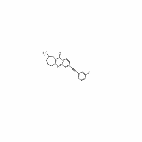 CC1CCCc2nc3cc(C#Cc4cccc(F)c4)ccn3c(=O)c2C1